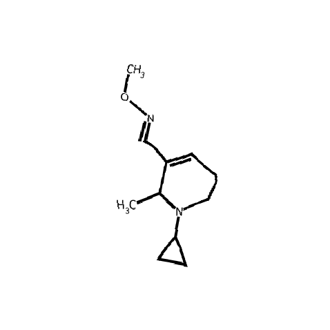 CON=CC1=CCCN(C2CC2)C1C